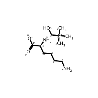 C[P+](C)(C)CO.NCCCC[C@H](N)C(=O)[O-]